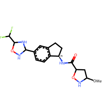 COC1CC(C(=O)N[C@@H]2CCc3cc(C4NOC(C(F)F)N4)ccc32)ON1